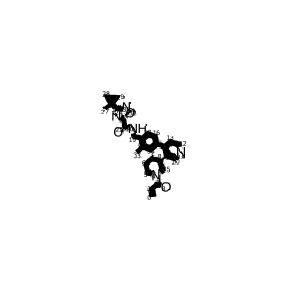 C=CC(=O)N1CCC[C@@H](c2cnccc2-c2ccc(CNC(=O)c3nc(C4(C)CC4)no3)c(C)c2)C1